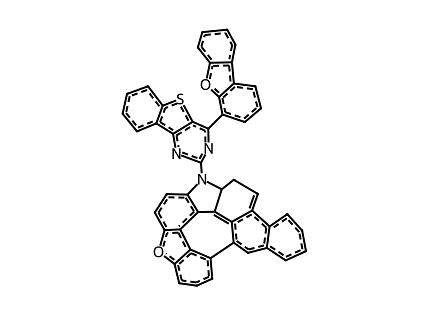 C1=c2c3c(cc4ccccc24)-c2cccc4oc5ccc6c(c5c24)C=3C(C1)N6c1nc(-c2cccc3c2oc2ccccc23)c2sc3ccccc3c2n1